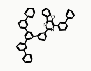 c1ccc(-c2cccc(-c3cc(-c4cccc(-c5ccccc5)c4)cc(-c4cccc(-c5nc(-c6cccc(-c7ccccc7)c6)c6oc7ccccc7c6n5)c4)c3)c2)cc1